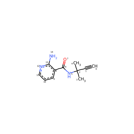 C#CC(C)(C)NC(=O)c1cccnc1N